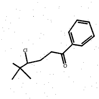 CC(C)(C)C(Cl)CCC(=O)c1ccccc1